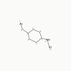 CCNC1CCC(CC(C)=O)CC1